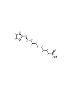 O=C(O)CCCCCCCC/C=C/C1OCCO1